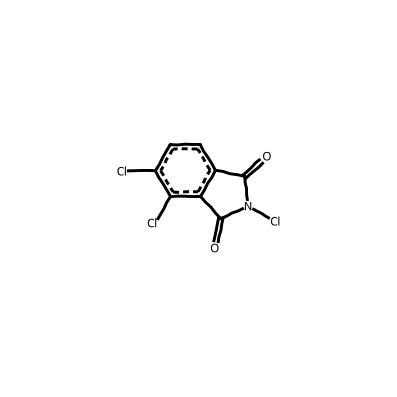 O=C1c2ccc(Cl)c(Cl)c2C(=O)N1Cl